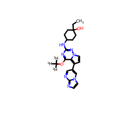 [2H]C([2H])([2H])Oc1nc(NC2CCC(O)(CC)CC2)nn2ccc(-c3cnc4nccn4c3)c12